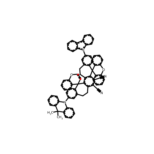 CC1(C)c2ccccc2N(c2ccc3c(c2)CCc2c(C#N)c(C#N)c4c(c2C32c3ccccc3Oc3ccccc32)CCc2cc(-n3c5ccccc5c5ccccc53)ccc2C42c3ccccc3Oc3ccccc32)c2ccccc21